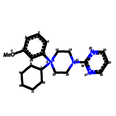 COc1cccc([N+]2(C3CCCCC3)CCN(c3ncccn3)CC2)c1